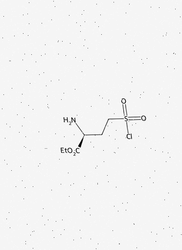 CCOC(=O)[C@@H](N)CCS(=O)(=O)Cl